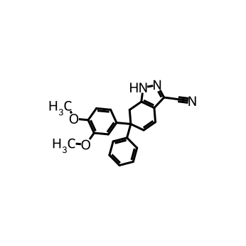 COc1ccc(C2(c3ccccc3)C=Cc3c(C#N)n[nH]c3C2)cc1OC